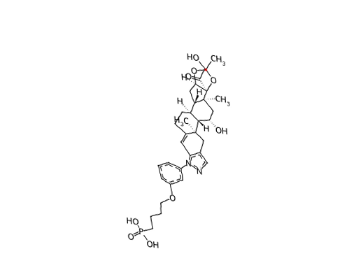 CC1O[C@@H]2C[C@H]3[C@@H]4CCC5=Cc6c(cnn6-c6cccc(OCCCCP(=O)(O)O)c6)C[C@]5(C)[C@H]4[C@@H](O)C[C@]3(C)[C@]2(C(=O)CO)O1